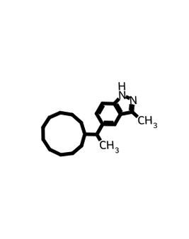 Cc1n[nH]c2ccc(C(C)C3CCCCCCCCCC3)cc12